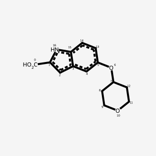 O=C(O)c1cc2cc(OC3CCOCC3)ccc2[nH]1